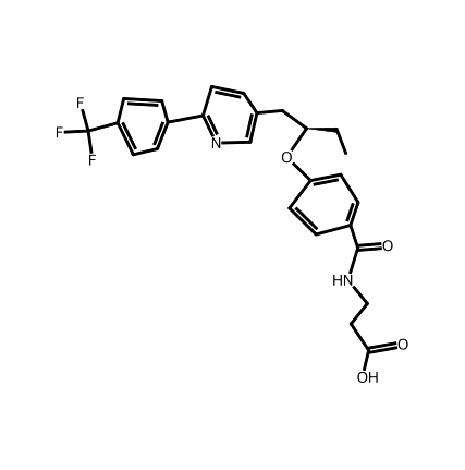 CC[C@H](Cc1ccc(-c2ccc(C(F)(F)F)cc2)nc1)Oc1ccc(C(=O)NCCC(=O)O)cc1